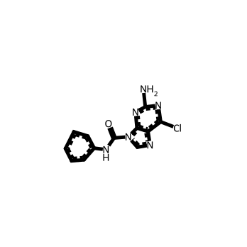 Nc1nc(Cl)c2ncn(C(=O)Nc3ccccc3)c2n1